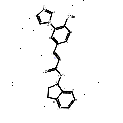 COc1ccc(/C=C/C(=O)NC2CCc3ccccc32)cc1-n1ccnc1